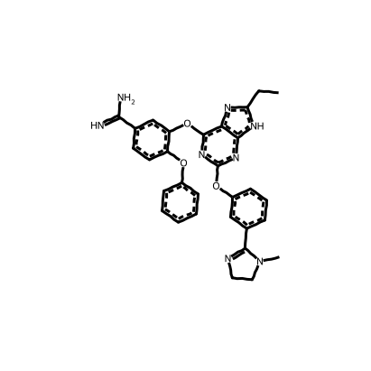 CCc1nc2c(Oc3cc(C(=N)N)ccc3Oc3ccccc3)nc(Oc3cccc(C4=NCCN4C)c3)nc2[nH]1